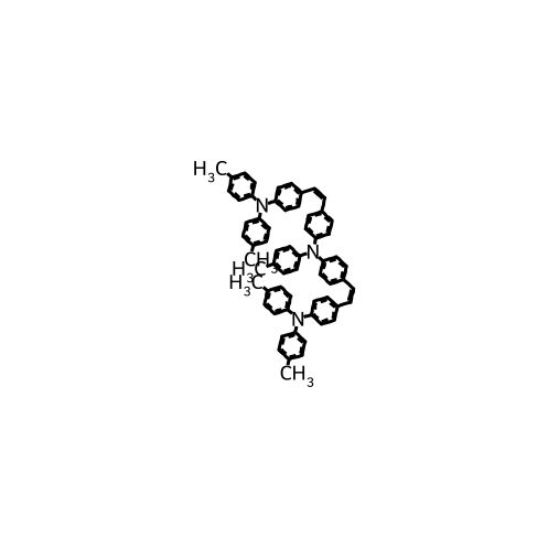 Cc1ccc(N(c2ccc(C)cc2)c2ccc(/C=C\c3ccc(N(c4ccc(C)cc4)c4ccc(/C=C\c5ccc(N(c6ccc(C)cc6)c6ccc(C)cc6)cc5)cc4)cc3)cc2)cc1